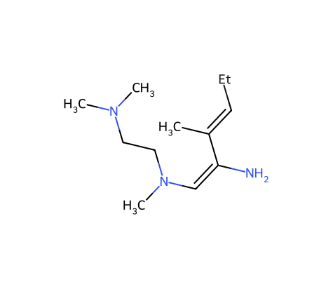 CC/C=C(C)/C(N)=C\N(C)CCN(C)C